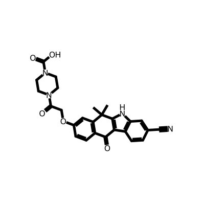 CC1(C)c2cc(OCC(=O)N3CCN(C(=O)O)CC3)ccc2C(=O)c2c1[nH]c1cc(C#N)ccc21